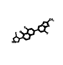 Cc1cn2cc(-c3cc(F)c4c(=O)n(C5CNCC5F)ccc4c3)cc(F)c2n1